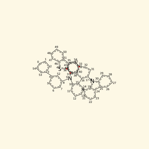 c1ccc(-c2cccc(N(c3ccccc3-c3c(-n4c5ccccc5c5ccccc54)ccc4ccccc34)c3cccc4c3sc3ccccc34)c2)cc1